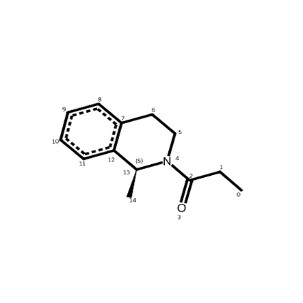 CCC(=O)N1CCc2ccccc2[C@@H]1C